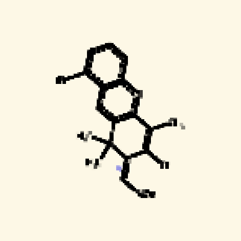 CCC1=C(C)c2nc3cccc(C(C)C)c3cc2C(C)(C)/C1=C/NC